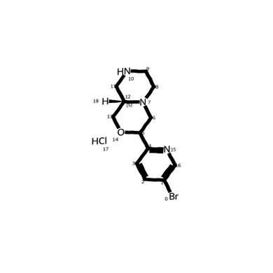 Brc1ccc(C2CN3CCNC[C@H]3CO2)nc1.Cl